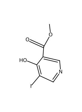 COC(=O)c1cncc(I)c1O